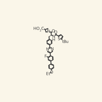 CCOc1ccc(-c2ccc(-c3cnc(-c4ccc(C[C@H](NC(=O)c5ccc(C(C)(C)C)s5)C(=O)N5CC(C(=O)O)C5)cc4)nc3)c(F)c2)cc1